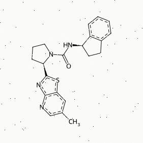 Cc1cnc2nc([C@H]3CCCN3C(=O)N[C@@H]3CCc4ccccc43)sc2c1